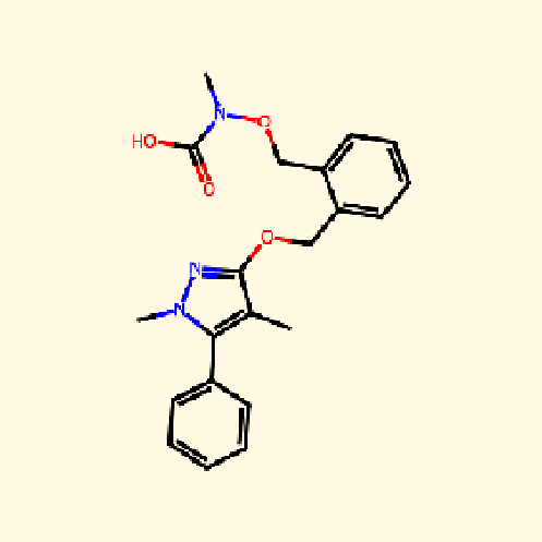 Cc1c(OCc2ccccc2CON(C)C(=O)O)nn(C)c1-c1ccccc1